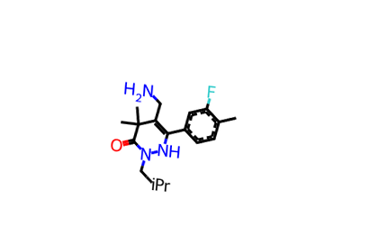 Cc1ccc(C2=C(CN)C(C)(C)C(=O)N(CC(C)C)N2)cc1F